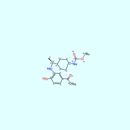 COC(=O)c1ccc(O)c(N[C@@H](C)C2CCC(NC(=O)OC(C)(C)C)CC2)c1